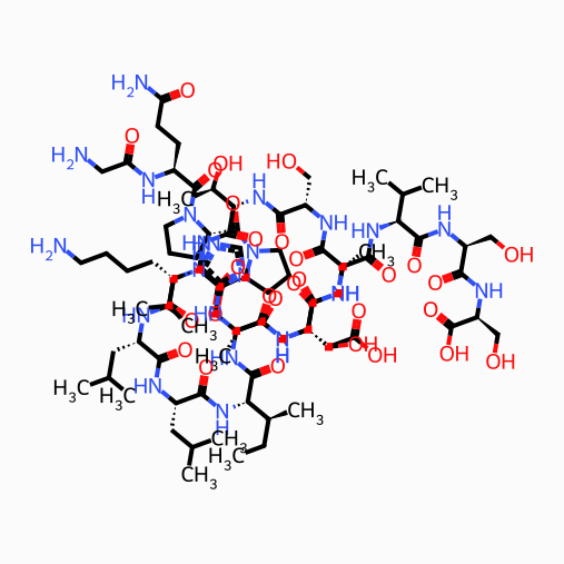 CC[C@H](C)[C@H](NC(=O)[C@H](CC(C)C)NC(=O)[C@H](CC(C)C)NC(=O)[C@H](CCCCN)NC(=O)[C@@H]1CCCN1C(=O)[C@@H]1CCCN1C(=O)[C@H](CCC(N)=O)NC(=O)CN)C(=O)N[C@@H](Cc1c[nH]cn1)C(=O)N[C@@H](CC(=O)O)C(=O)N[C@@H](C)C(=O)N[C@@H](CO)C(=O)N[C@H](C(=O)N[C@@H](CC(C)C)C(=O)N[C@@H](C)C(=O)N[C@@H](CO)C(=O)NCC(=O)N[C@H](C(=O)N[C@@H](CO)C(=O)N[C@@H](CO)C(=O)O)C(C)C)[C@@H](C)O